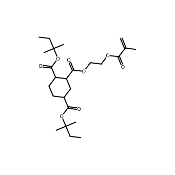 C=C(C)C(=O)OCCOC(=O)C1CC(C(=O)OC(C)(C)CC)CCC1C(=O)OC(C)(C)CC